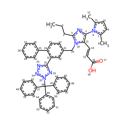 CCCc1nc(-n2c(C)ccc2C)c(/C=C/C(=O)O)n1Cc1ccc(-c2ccccc2)c(-c2nnn(C(c3ccccc3)(c3ccccc3)c3ccccc3)n2)c1